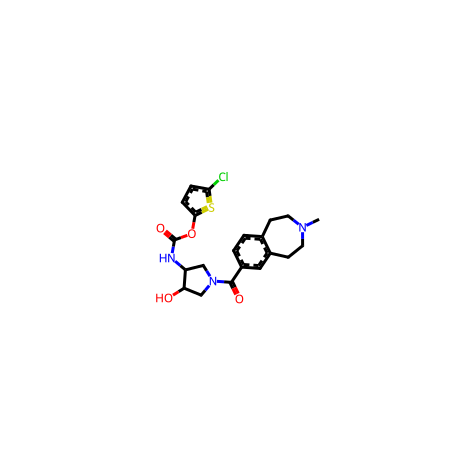 CN1CCc2ccc(C(=O)N3CC(O)C(NC(=O)Oc4ccc(Cl)s4)C3)cc2CC1